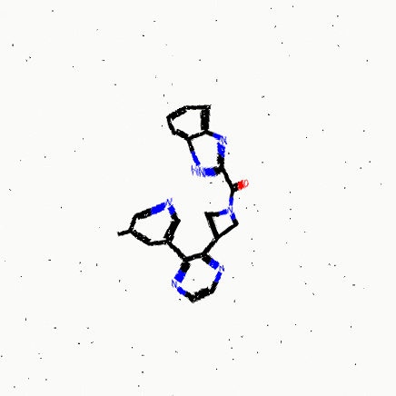 Cc1cncc(-c2nccnc2C2CN(C(=O)c3nc4ccccc4[nH]3)C2)c1